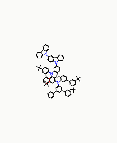 CC(C)(C)c1cc(-c2ccc3c(c2)N(c2cc(-c4ccccc4)cc(-c4ccccc4)c2)c2cc(C(C)(C)C)cc4c2B3c2ccc(-n3c5ccccc5c5cc(-n6c7ccccc7c7ccccc76)ccc53)cc2N4c2ccc(C(C)(C)C)cc2-c2ccccc2)cc(C(C)(C)C)c1